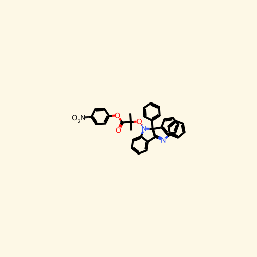 CC(C)(ON1c2ccccc2/C(=N/c2ccccc2)C1(c1ccccc1)c1ccccc1)C(=O)Oc1ccc([N+](=O)[O-])cc1